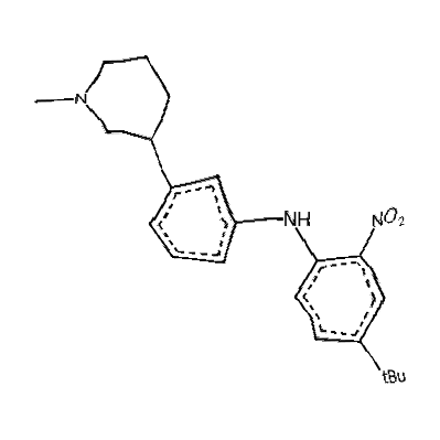 CN1CCCC(c2cccc(Nc3ccc(C(C)(C)C)cc3[N+](=O)[O-])c2)C1